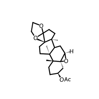 CC(=O)O[C@H]1CC[C@]2(C)[C@@]3(C)CC[C@]4(C)C5(CC[C@@]4(C)C3C[C@H]3O[C@]32C1)OCCO5